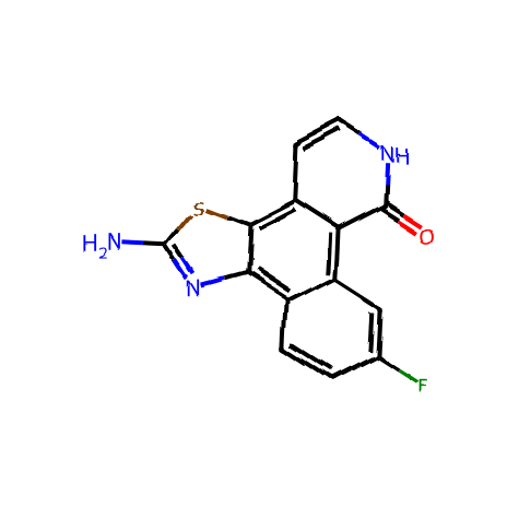 Nc1nc2c3ccc(F)cc3c3c(=O)[nH]ccc3c2s1